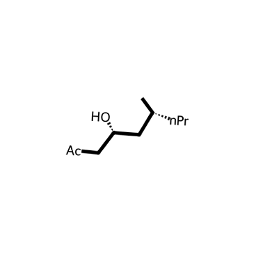 CCC[C@@H](C)C[C@@H](O)CC(C)=O